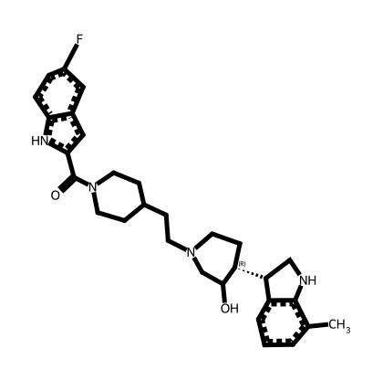 Cc1cccc2c1NCC2[C@H]1CCN(CCC2CCN(C(=O)c3cc4cc(F)ccc4[nH]3)CC2)CC1O